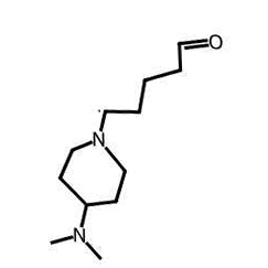 CN(C)C1CCN([CH]CCCC=O)CC1